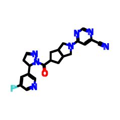 N#Cc1cc(N2CC3CC(C(=O)N4N=CCC4c4cncc(F)c4)CC3C2)ncn1